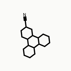 N#CC1CCC2C3CCCCC3C3CCCCC3C2C1